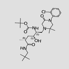 C[C@H](C[C@H](O)[C@H](CN1CC(=O)N(c2ccccc2Cl)CC1(C)C)NC(=O)OC(C)(C)C)C(=O)NCC(C)(C)C